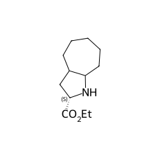 CCOC(=O)[C@@H]1CC2CCCCCC2N1